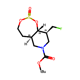 CC(C)(C)OC(=O)N1C[C@H]2CCOS(=O)O[C@@H]2[C@@H](CF)C1